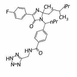 CCCC(c1ccc(C(=O)NCc2nn[nH]n2)cc1)N1C(=O)C(c2ccc(F)cc2)=NC1(C)CCC(C)C(C)C